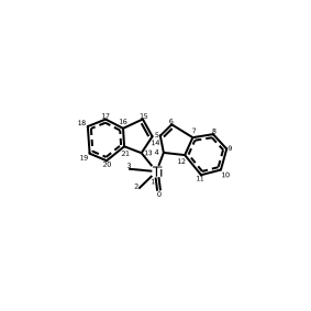 [CH2]=[Ti]([CH3])([CH3])([CH]1C=Cc2ccccc21)[CH]1C=Cc2ccccc21